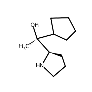 C[C@](O)(C1CCCC1)[C@H]1CCCN1